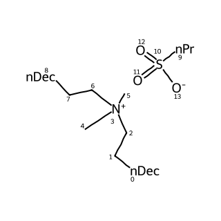 CCCCCCCCCCCC[N+](C)(C)CCCCCCCCCCCC.CCCS(=O)(=O)[O-]